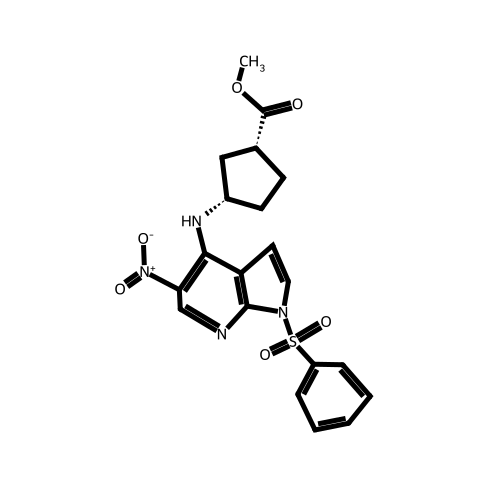 COC(=O)[C@@H]1CC[C@H](Nc2c([N+](=O)[O-])cnc3c2ccn3S(=O)(=O)c2ccccc2)C1